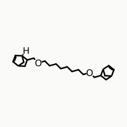 C1=CC2CC1CC2COCCCCCCCCOCC1CC2C=C[C@H]1C2